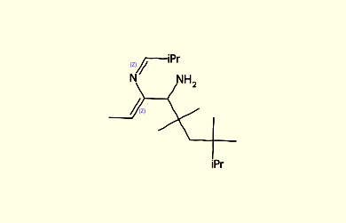 C/C=C(\N=C/C(C)C)C(N)C(C)(C)CC(C)(C)C(C)C